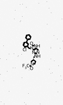 O=C(N1CC[C@@H](CNc2ncc3[nH]c(=O)n(Cc4cc(-c5ccccc5)ccc4Cl)c3n2)C1)C(F)(F)F